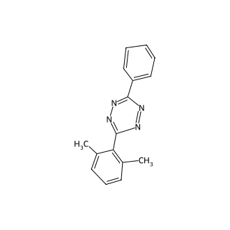 Cc1cccc(C)c1-c1nnc(-c2ccccc2)nn1